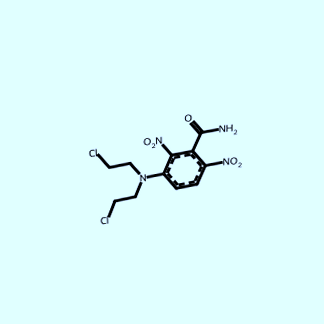 NC(=O)c1c([N+](=O)[O-])ccc(N(CCCl)CCCl)c1[N+](=O)[O-]